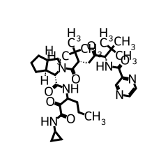 CCCC(NC(=O)[C@@H]1[C@H]2CCC[C@H]2CN1C(=O)[C@@H](CC(=O)[C@@H](NC(=O)c1cnccn1)C(C)(C)C)C(C)(C)C)C(=O)C(=O)NC1CC1